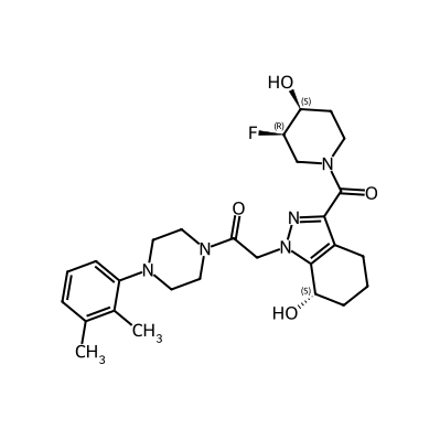 Cc1cccc(N2CCN(C(=O)Cn3nc(C(=O)N4CC[C@H](O)[C@H](F)C4)c4c3[C@@H](O)CCC4)CC2)c1C